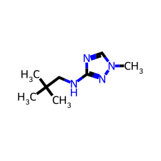 Cn1cnc(NCC(C)(C)C)n1